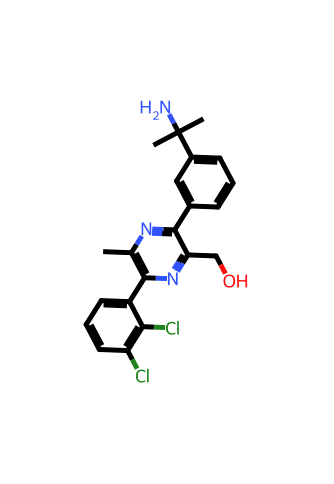 Cc1nc(-c2cccc(C(C)(C)N)c2)c(CO)nc1-c1cccc(Cl)c1Cl